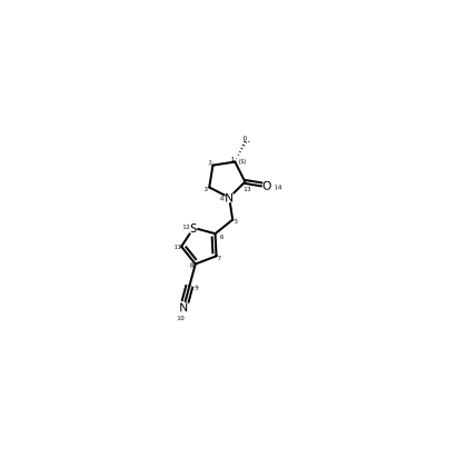 [CH2][C@H]1CCN(Cc2cc(C#N)cs2)C1=O